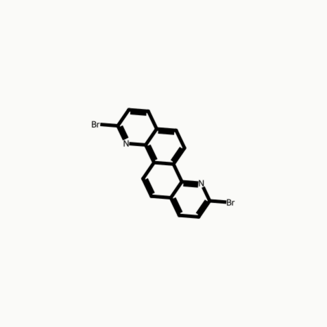 Brc1ccc2ccc3c(ccc4ccc(Br)nc43)c2n1